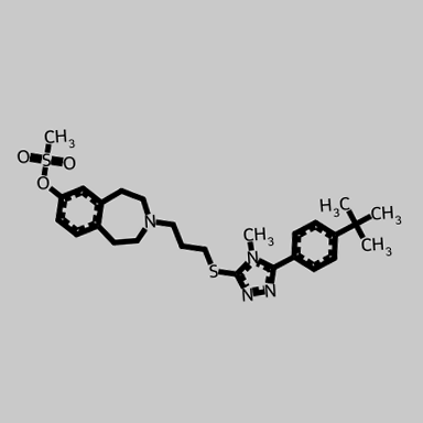 Cn1c(SCCCN2CCc3ccc(OS(C)(=O)=O)cc3CC2)nnc1-c1ccc(C(C)(C)C)cc1